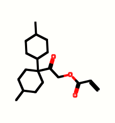 C=CC(=O)OCC(=O)C1(C2CCC(C)CC2)CCC(C)CC1